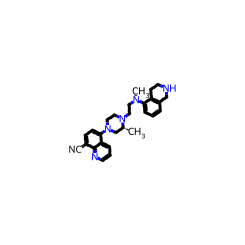 C[C@@H]1CN(c2ccc(C#N)c3ncccc23)CCN1CCN(C)c1cccc2c1CCNC2